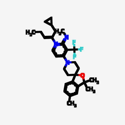 CC/C=C(\CC1CC1)n1ccc(N2CCC3(CC2)OC(C)(C)c2cc(C)ccc23)c(C(F)(F)F)/c1=N/C